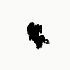 COc1cc(CN2CCN(C3CC4(CCN(c5ccc(C(=O)NS(=O)(=O)c6cc7c(c([N+](=O)[O-])c6)N[C@@H](CN6CCC(F)(F)CC6)CO7)c(N6c7cc8cc[nH]c8nc7O[C@H]7COCC[C@@H]76)c5)CC4)C3)[C@H](c3ccccc3C)C2)cnc1N1CCOCC1